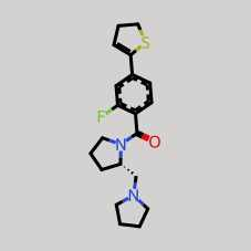 O=C(c1ccc(C2=CCCS2)cc1F)N1CCC[C@H]1CN1CCCC1